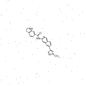 Cn1cc(-c2ccc3cnc(NC(=O)c4ccc5c(c4)NCC5)cc3c2)cn1